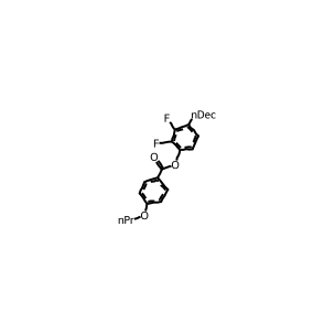 CCCCCCCCCCc1ccc(OC(=O)c2ccc(OCCC)cc2)c(F)c1F